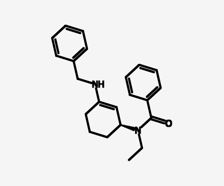 CCN(C(=O)c1ccccc1)[C@@H]1C=C(NCc2ccccc2)CCC1